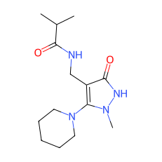 CC(C)C(=O)NCc1c(N2CCCCC2)n(C)[nH]c1=O